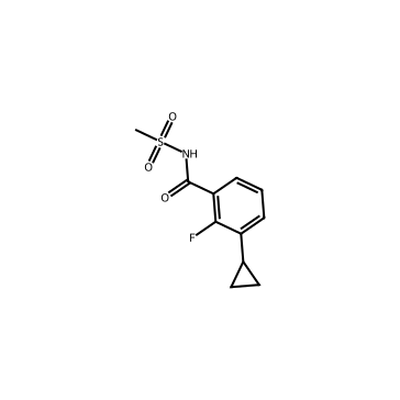 CS(=O)(=O)NC(=O)c1cccc(C2CC2)c1F